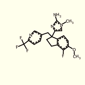 COc1ccc2c(c1F)CCC2(Cc1ccc(C(F)(F)F)nc1)c1cn(C)c(N)n1